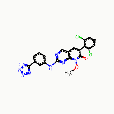 COn1c(=O)c(-c2c(Cl)cccc2Cl)cc2cnc(Nc3cccc(-c4nnn[nH]4)c3)nc21